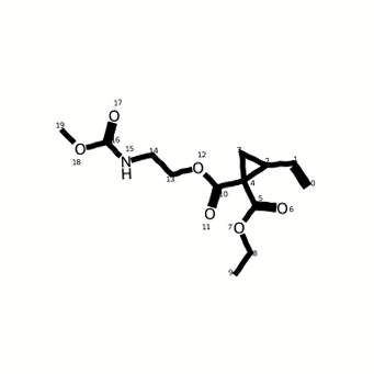 C=CC1CC1(C(=O)OCC)C(=O)OCCNC(=O)OC